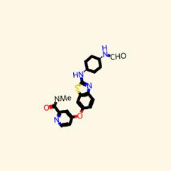 CNC(=O)c1cc(Oc2ccc3nc(N[C@H]4CC[C@@H](NC=O)CC4)sc3c2)ccn1